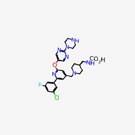 O=C(O)NCC1CCN(Cc2cc(Oc3cnc(N4CCNCC4)nc3)nc(-c3cc(F)cc(Cl)c3)c2)CC1